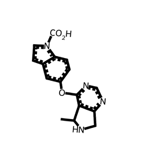 CC1NCc2ncnc(Oc3ccc4c(ccn4C(=O)O)c3)c21